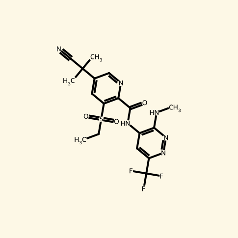 CCS(=O)(=O)c1cc(C(C)(C)C#N)cnc1C(=O)Nc1cc(C(F)(F)F)nnc1NC